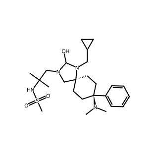 CN(C)[C@]1(c2ccccc2)CC[C@]2(CC1)CN(CC(C)(C)NS(C)(=O)=O)C(O)N2CC1CC1